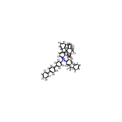 CC1(C)c2ccccc2-c2ccc(N(c3ccc(-c4ccc(-c5ccccc5)cc4)cc3)c3ccc4c(c3)C3(c5ccccc5-4)c4ccccc4C(C)(C)c4ccccc43)cc21